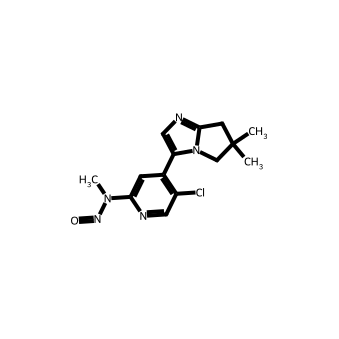 CN(N=O)c1cc(-c2cnc3n2CC(C)(C)C3)c(Cl)cn1